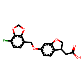 O=C(O)CC1COc2cc(OCc3ccc(F)c4c3OCO4)ccc21